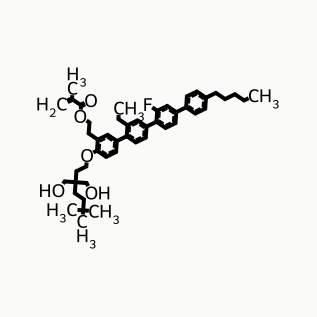 C=C(C)C(=O)OCCc1cc(-c2ccc(-c3ccc(-c4ccc(CCCCC)cc4)cc3F)cc2CC)ccc1OCCC(CO)(CO)CCC(C)(C)C